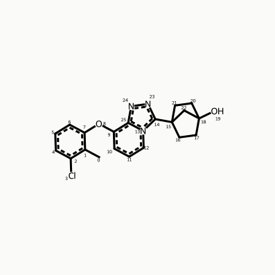 Cc1c(Cl)cccc1Oc1cccn2c(C34CCC(O)(CC3)C4)nnc12